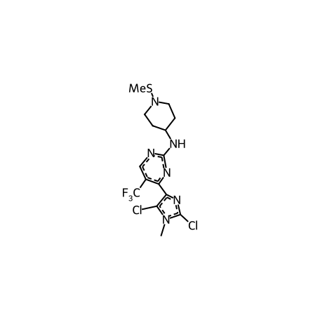 CSN1CCC(Nc2ncc(C(F)(F)F)c(-c3nc(Cl)n(C)c3Cl)n2)CC1